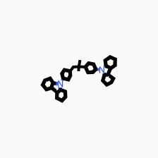 CC(C)(Cc1ccc(-n2c3ccccc3c3ccccc32)cc1)c1ccc(-n2c3ccccc3c3ccccc32)cc1